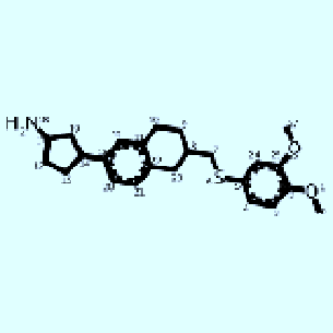 COc1ccc(SCC2CCc3cc(C4CCC(N)C4)ccc3C2)cc1OC